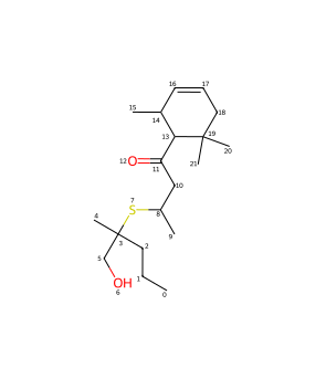 CCCC(C)(CO)SC(C)CC(=O)C1C(C)C=CCC1(C)C